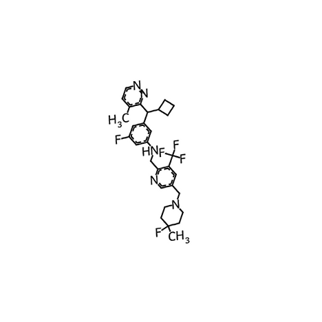 Cc1ccnnc1C(c1cc(F)cc(NCc2ncc(CN3CCC(C)(F)CC3)cc2C(F)(F)F)c1)C1CCC1